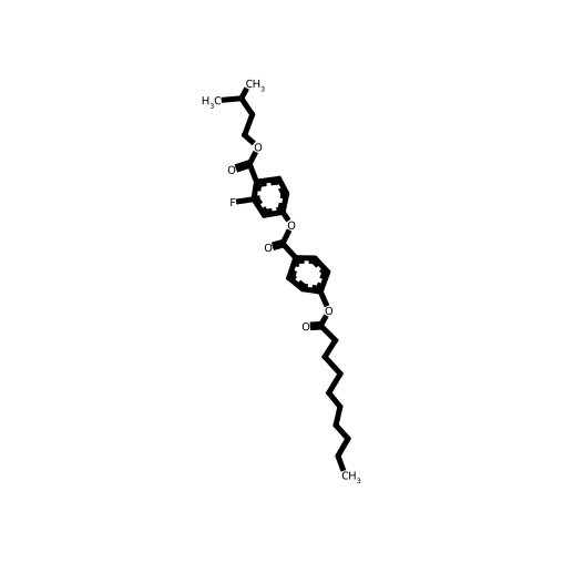 CCCCCCCCCC(=O)Oc1ccc(C(=O)Oc2ccc(C(=O)OCCC(C)C)c(F)c2)cc1